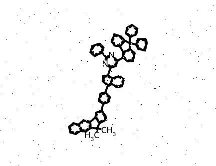 CC1(C)c2ccc(-c3ccc(-c4ccc(-c5cc(-c6cccc7c6-c6ccccc6C7(c6ccccc6)c6ccccc6)nc(-c6ccccc6)n5)c5ccccc45)cc3)cc2-c2cc3ccccc3cc21